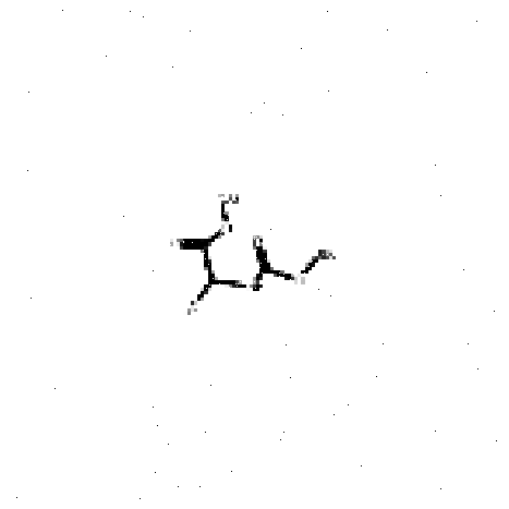 C[C](NC(=O)OC(C)(C)C)C(=O)OC(C)(C)C